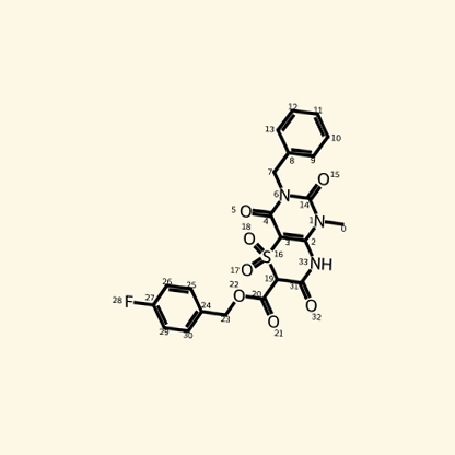 Cn1c2c(c(=O)n(Cc3ccccc3)c1=O)S(=O)(=O)C(C(=O)OCc1ccc(F)cc1)C(=O)N2